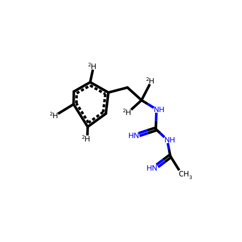 [2H]c1cc([2H])c(CC([2H])([2H])NC(=N)NC(C)=N)cc1[2H]